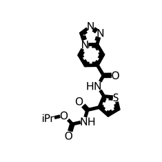 CC(C)OC(=O)NC(=O)c1ccsc1NC(=O)c1ccn2cnnc2c1